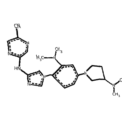 CN(C)c1cc(N2CCC(N(C)C)C2)ccc1-n1cnc(Nc2cnc(C#N)cn2)c1